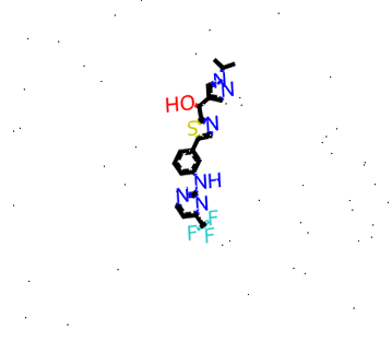 CC(C)n1cc(C(O)c2ncc(-c3cccc(Nc4nccc(C(F)(F)F)n4)c3)s2)cn1